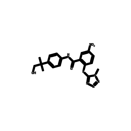 Cn1nnnc1Sc1ccc([N+](=O)[O-])cc1C(=O)Nc1ccc(C(C)(C)CO)cc1